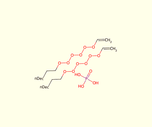 C=COOOOOOCCCCCCCCCCCC.C=COOOOOOCCCCCCCCCCCC.O=P(O)(O)O